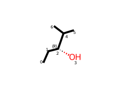 CC[C@@H](O)C(C)C